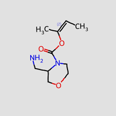 C/C=C(/C)OC(=O)N1CCOCC1CN